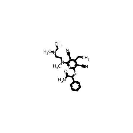 CCc1c(C#N)c(SC(C(N)=O)c2ccccc2)nc(N(C)CCN(C)CC)c1C#N